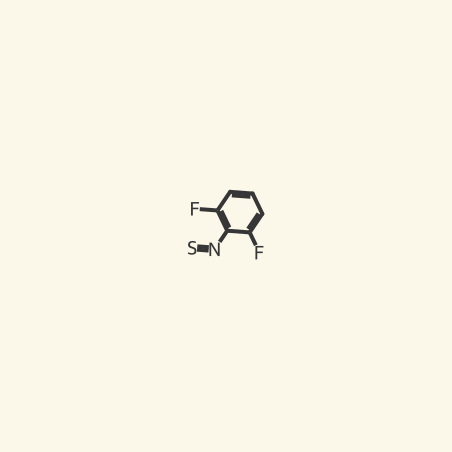 Fc1cccc(F)c1N=S